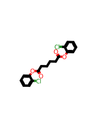 O=C(CCCCC(=O)Oc1ccccc1Cl)Oc1ccccc1Cl